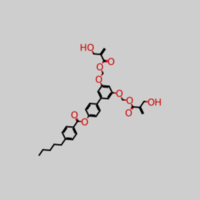 C=C(CO)C(=O)OCOc1cc(OCOC(=O)C(=C)CO)cc(-c2ccc(OC(=O)c3ccc(CCCCC)cc3)cc2)c1